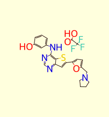 O=C(O)C(F)(F)F.Oc1cccc(Nc2ncnc3cc(-c4ccc(CN5CCCC5)o4)sc23)c1